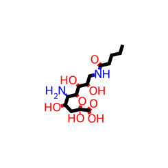 CCCCC(=O)NCC(O)C(O)C1O[C@@](O)(C(=O)O)CC(O)[C@H]1N